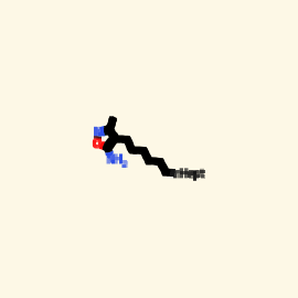 CCCCCCCCCCCCCc1c(C)noc1N